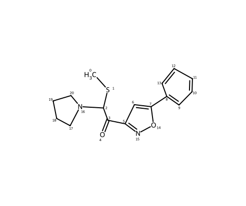 CSC(C(=O)c1cc(-c2ccccc2)on1)N1CCCC1